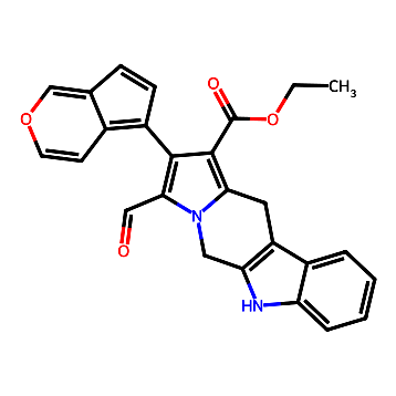 CCOC(=O)c1c(-c2ccc3coccc2-3)c(C=O)n2c1Cc1c([nH]c3ccccc13)C2